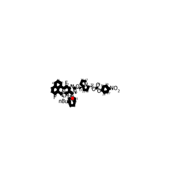 [2H]N1C2CCC1(CCCC)CN(c1nc(OC[C@@]34CCCN3[C@H](COC(=O)Oc3ccc([N+](=O)[O-])cc3)CC4)nc3c(F)c(-c4cccc5ccc(F)c(C#C)c45)ncc13)C2